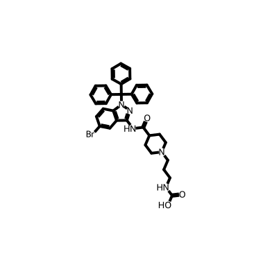 O=C(O)NCCCN1CCC(C(=O)Nc2nn(C(c3ccccc3)(c3ccccc3)c3ccccc3)c3ccc(Br)cc23)CC1